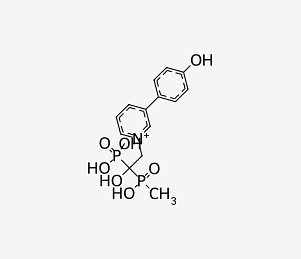 CP(=O)(O)C(O)(C[n+]1cccc(-c2ccc(O)cc2)c1)P(=O)(O)O